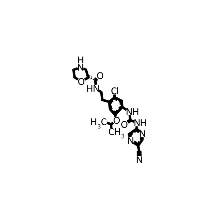 CC(C)Oc1cc(CCNC(=O)[C@H]2CNCCO2)c(Cl)cc1NC(=O)Nc1cnc(C#N)cn1